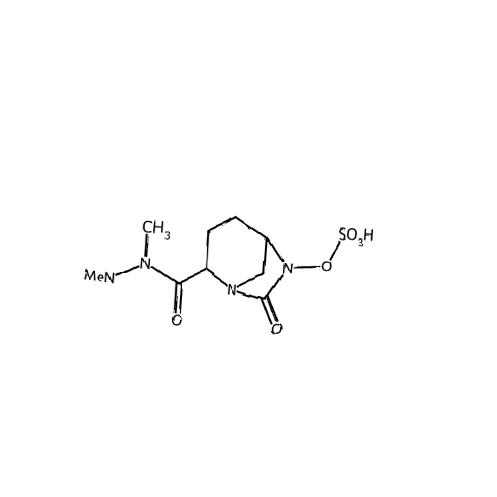 CNN(C)C(=O)C1CCC2CN1C(=O)N2OS(=O)(=O)O